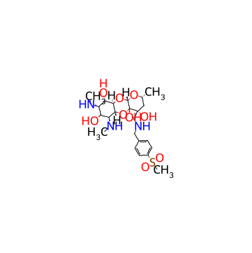 CN[C@@H]1[C@H](O)[C@H](NC)[C@H]2O[C@]3(O)[C@H](O[C@@H]2[C@H]1O)O[C@H](C)C[C@@]3(O)CNCc1ccc(S(C)(=O)=O)cc1